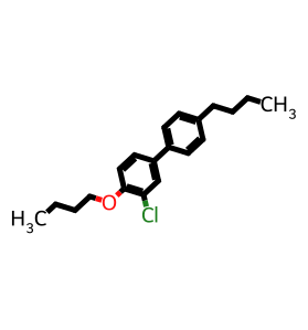 CCCCOc1ccc(-c2ccc(CCCC)cc2)cc1Cl